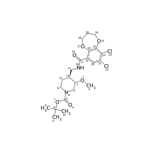 COC1CN(C(=O)OC(C)(C)C)CC[C@H]1CNC(=O)c1cc(Cl)c(Cl)c2c1OCCCO2